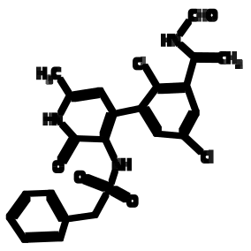 C=C(NC=O)c1cc(Cl)cc(-c2cc(C)[nH]c(=O)c2NS(=O)(=O)Cc2ccccc2)c1Cl